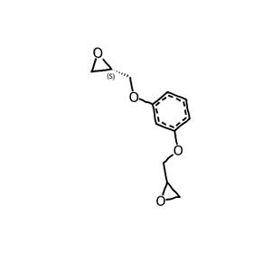 c1cc(OCC2CO2)cc(OC[C@@H]2CO2)c1